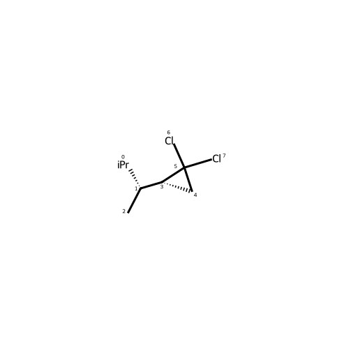 CC(C)[C@@H](C)[C@H]1CC1(Cl)Cl